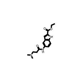 CCOC(=O)c1cc2cc(NC(=O)CCN(C)C)ccc2[se]1